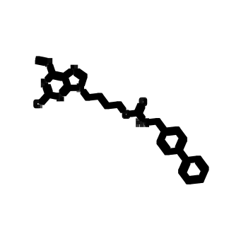 C=Nc1nc(Cl)nc2c1ncn2CCCCOC(=O)NCc1ccc(-c2ccccc2)cc1